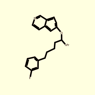 CCCC(CCCCc1cccc(F)c1)Oc1ccc2cnccc2c1